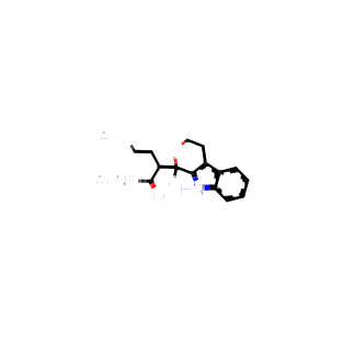 CC(=O)NC(=O)C(CCOC(C)=O)C1(C)OCCc2c1[nH]c1ccccc21